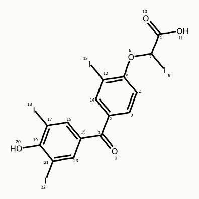 O=C(c1ccc(OC(I)C(=O)O)c(I)c1)c1cc(I)c(O)c(I)c1